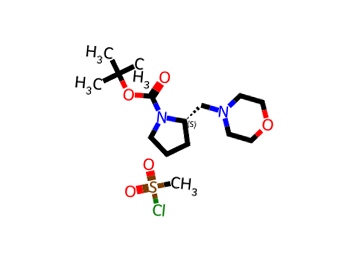 CC(C)(C)OC(=O)N1CCC[C@H]1CN1CCOCC1.CS(=O)(=O)Cl